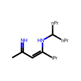 CCCC(CCC)N/C(=C\C(C)=N)C(C)C